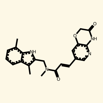 Cc1c(CN(C)C(=O)C=Cc2cnc3c(c2)OCC(=O)N3)[nH]c2c(C)cccc12